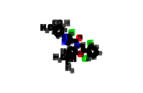 CC1(C(=O)O)CCC(n2ncc(C(=O)N(CC(=O)c3c(Cl)cccc3Cl)C3C[C@@H]4[C@H](C3)C4(C)C)c2Cl)CC1